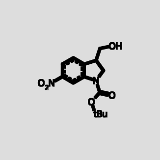 CC(C)(C)OC(=O)N1CC(CO)c2ccc([N+](=O)[O-])cc21